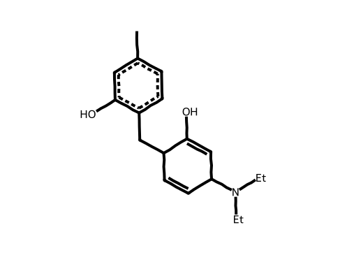 CCN(CC)C1C=CC(Cc2ccc(C)cc2O)C(O)=C1